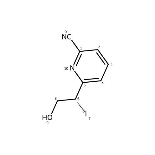 N#Cc1cccc([C@H](I)CO)n1